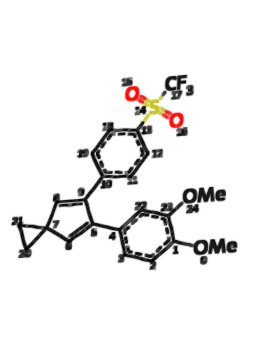 COc1ccc(C2=CC3(C=C2c2ccc(S(=O)(=O)C(F)(F)F)cc2)CC3)cc1OC